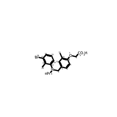 CCCN(Cc1ccc(OCC(=O)O)c(C)c1)c1cccc(Br)c1C